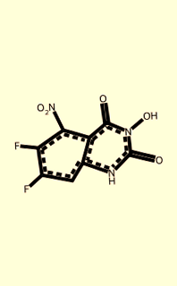 O=c1[nH]c2cc(F)c(F)c([N+](=O)[O-])c2c(=O)n1O